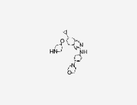 c1cc(N2CCOCC2)ccc1Nc1ncc2cc(C3CC3)c(OC3CCNCC3)cc2n1